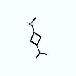 CN[C@H]1C[C@@H](C(C)C)C1